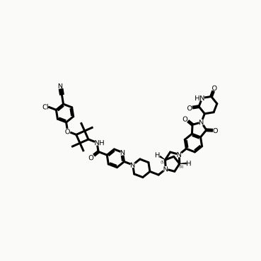 CC1(C)C(NC(=O)c2ccc(N3CCC(CN4C[C@@H]5C[C@H]4CN5c4ccc5c(c4)C(=O)N(C4CCC(=O)NC4=O)C5=O)CC3)nc2)C(C)(C)C1Oc1ccc(C#N)c(Cl)c1